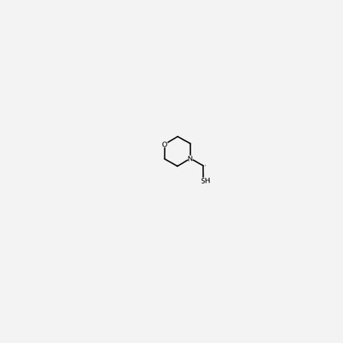 S[CH]N1CCOCC1